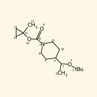 CC(OC(C)(C)C)C1CCN(C(=O)OC2(C)CC2)CC1